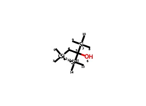 C[Si](C)(C)CC(O)([Si](C)(C)C)[Si](C)(C)C